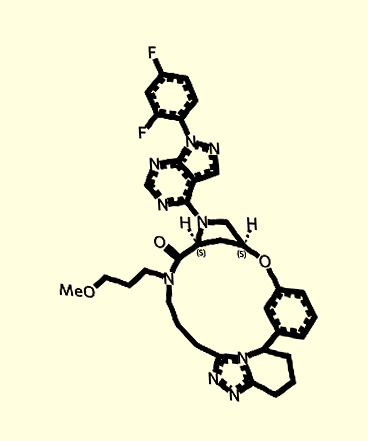 COCCCN1CCCc2nnc3n2C(CCC3)c2cccc(c2)O[C@H]2C[C@@H](C1=O)N(c1ncnc3c1cnn3-c1ccc(F)cc1F)C2